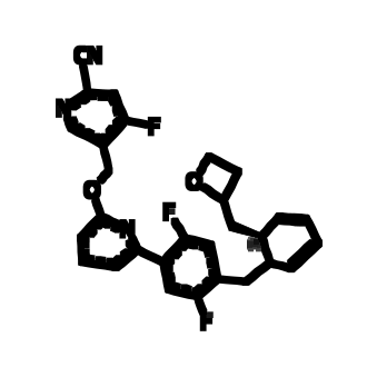 N#Cc1cc(F)c(COc2cccc(-c3cc(F)c(CC4C=CC=C[C@@H]4CC4CCO4)cc3F)n2)cn1